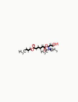 CCCCOC(=O)CCCCC(=O)OC(CCO)N(C)C